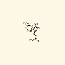 CCC(S)[Si]1(OCCC(C)O)OCCC(C)O1